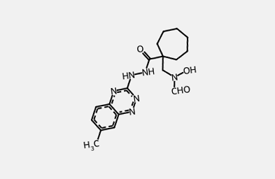 Cc1ccc2nc(NNC(=O)C3(CN(O)C=O)CCCCCC3)nnc2c1